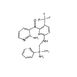 CC(N)(CNc1ccc(C(F)(F)F)c(C(=O)c2cccnc2N)n1)c1ccccc1